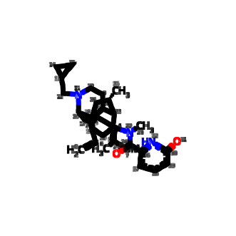 C=CC1=C(/C=C(\C)OC)C23CCN(CC4CC4)C(C1)C21CCC(N(C)C(=O)c2cccc(=O)[nH]2)C3[C@@H](C)C1